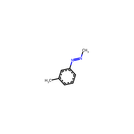 C/N=N/c1cccc(C)c1